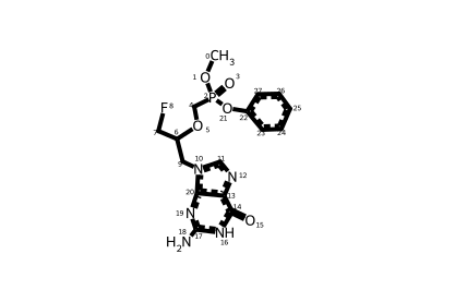 COP(=O)(COC(CF)Cn1cnc2c(=O)[nH]c(N)nc21)Oc1ccccc1